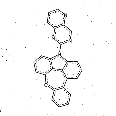 c1cnc2cnc(-n3c4cccc5oc6ccccc6c6cccc3c6c54)nc2c1